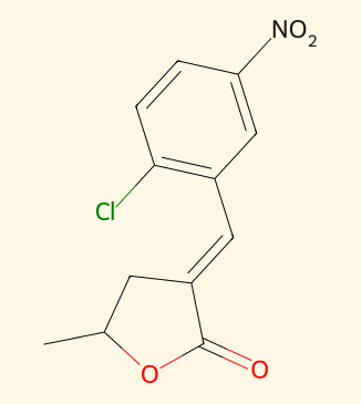 CC1CC(=Cc2cc([N+](=O)[O-])ccc2Cl)C(=O)O1